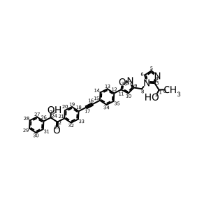 CC(O)c1nccn1Cc1cc(-c2ccc(C#Cc3ccc(C(=O)C(O)c4ccccc4)cc3)cc2)on1